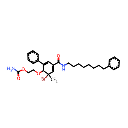 NC(=O)OCCOC1C(c2ccccc2)=CC(C(=O)NCCCCCCCCc2ccccc2)=CC1(Br)C(F)(F)F